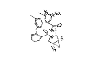 CCn1nc(C)cc1C(=O)NC[C@@H]1[C@H]2C[C@H]2CN1C(=O)c1ccccc1-c1cccc(C)c1